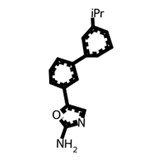 CC(C)c1cccc(-c2cccc(-c3cnc(N)o3)c2)c1